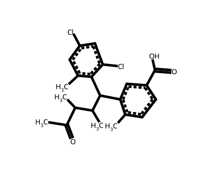 CC(=O)C(C)C(C)C(c1cc(C(=O)O)ccc1C)c1c(C)cc(Cl)cc1Cl